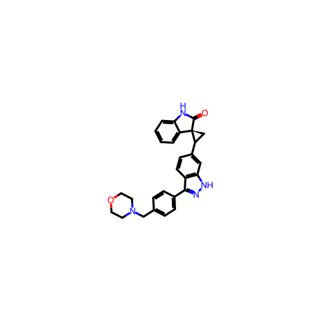 O=C1Nc2ccccc2[C@]12CC2c1ccc2c(-c3ccc(CN4CCOCC4)cc3)n[nH]c2c1